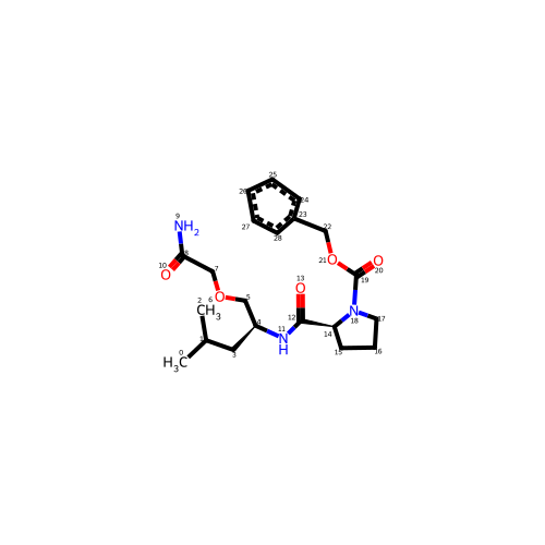 CC(C)C[C@@H](COCC(N)=O)NC(=O)[C@@H]1CCCN1C(=O)OCc1ccccc1